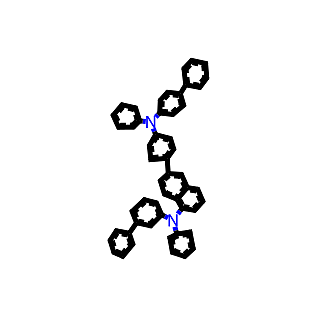 c1ccc(-c2ccc(N(c3ccccc3)c3ccc(-c4ccc5c(N(c6ccccc6)c6cccc(-c7ccccc7)c6)cccc5c4)cc3)cc2)cc1